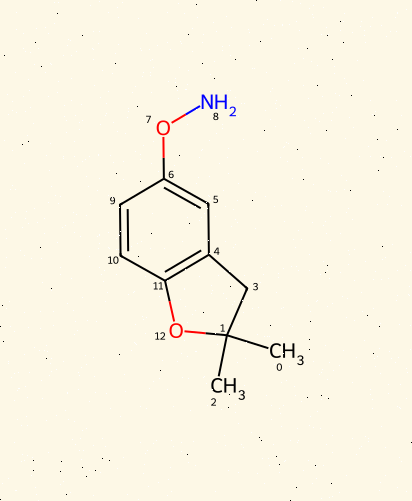 CC1(C)Cc2cc(ON)ccc2O1